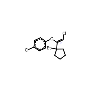 CCC1(/C(=C/Cl)Oc2ccc(Cl)cc2)CCCC1